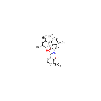 CCC(N=Cc1cccc([N+](=O)[O-])c1O)C(O)(c1cc(C(C)(C)C)cc(C(C)(C)C)c1)c1cc(C(C)(C)C)cc(C(C)(C)C)c1